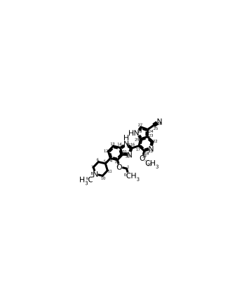 CCOc1c(C2CCN(C)CC2)ccc2[nH]c(-c3c(OC)ncc4c(C#N)c[nH]c34)nc12